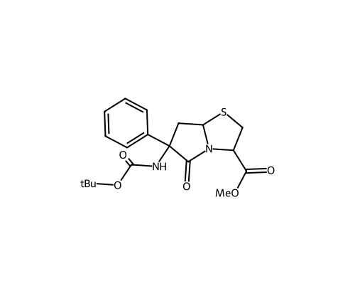 COC(=O)C1CSC2CC(NC(=O)OC(C)(C)C)(c3ccccc3)C(=O)N21